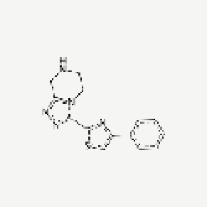 c1ccc(-c2csc(-c3nnc4n3CCNC4)n2)cc1